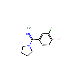 Cl.N=C(c1ccc(O)c(F)c1)N1CCCC1